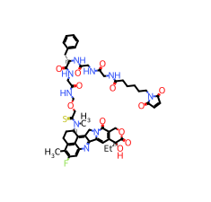 CC[C@@]1(O)C(=O)OCc2c1cc1n(c2=O)Cc2c-1nc1cc(F)c(C)c3c1c2[C@@H](N(C)C(=S)COCNC(=O)CNC(=O)[C@H](Cc1ccccc1)NC(=O)CNC(=O)CNC(=O)CCCCCN1C(=O)C=CC1=O)CC3